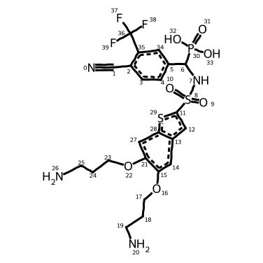 N#Cc1ccc(C(NS(=O)(=O)c2cc3cc(OCCCN)c(OCCCN)cc3s2)P(=O)(O)O)cc1C(F)(F)F